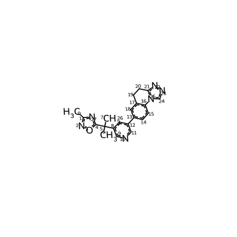 Cc1noc(C(C)(C)c2cncc(-c3ccc4c(c3)CCc3nncn3-4)c2)n1